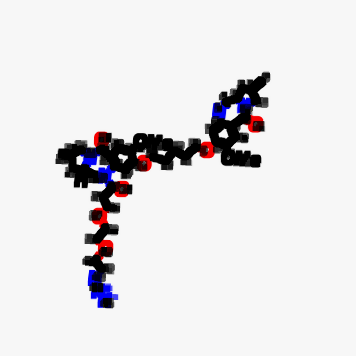 C=C1CC2C=Nc3cc(OCCCCCOc4cc5c(cc4OC)C(=O)N4CC(=C)C[C@H]4CN5C(=O)CCOCCOCCN=[N+]=[N-])c(OC)cc3C(=O)N2C1